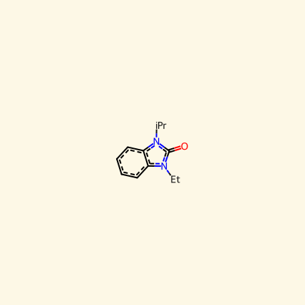 CCn1c(=O)n(C(C)C)c2ccccc21